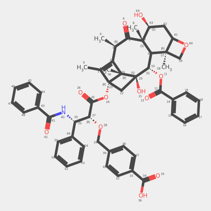 CC1=C2[C@@H](C)C(=O)[C@@]3(C)C([C@H](OC(=O)c4ccccc4)[C@]4(O)C[C@]1(OC(=O)[C@H](OCc1ccc(C(=O)O)cc1)[C@@H](NC(=O)c1ccccc1)c1ccccc1)[C@]24C)[C@]1(C)COC1C[C@@H]3O